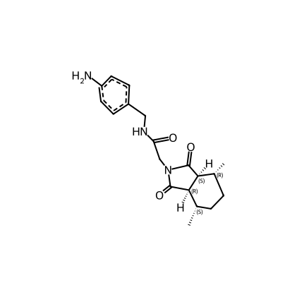 C[C@@H]1CC[C@H](C)[C@H]2C(=O)N(CC(=O)NCc3ccc(N)cc3)C(=O)[C@H]21